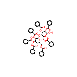 O=C(OC[C@H]1O[C@@H](O[C@H]2[C@H](OC(=O)c3ccccc3)[C@@H](OC(=O)c3ccccc3)C(O)O[C@@H]2COC(=O)c2ccccc2)[C@H](OC(=O)c2ccccc2)[C@@H](OC(=O)c2ccccc2)[C@H]1OC(=O)c1ccccc1)c1ccccc1